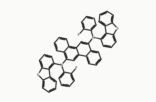 Fc1ccccc1N(c1cc2c3ccccc3c(N(c3ccccc3F)c3cccc4sc5ccccc5c34)cc2c2ccccc12)c1cccc2sc3ccccc3c12